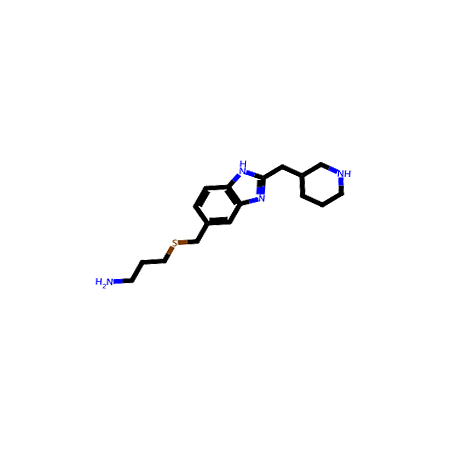 NCCCSCc1ccc2[nH]c(CC3CCCNC3)nc2c1